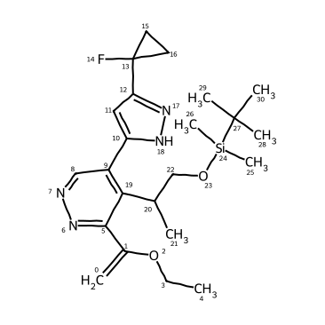 C=C(OCC)c1nncc(-c2cc(C3(F)CC3)n[nH]2)c1C(C)CO[Si](C)(C)C(C)(C)C